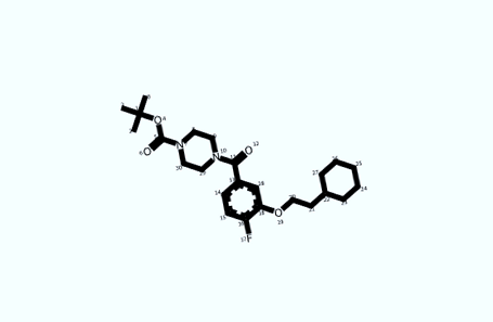 CC(C)(C)OC(=O)N1CCN(C(=O)c2ccc(F)c(OCCC3CCCCC3)c2)CC1